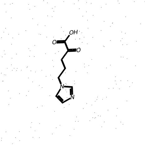 O=C(O)C(=O)CCCn1ccnc1